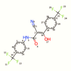 N#C/C(C(=O)Nc1ccc(C(F)(F)F)cc1)=C(/O)c1ccc(C(F)(F)F)cc1